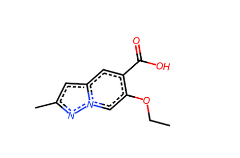 CCOc1cn2nc(C)cc2cc1C(=O)O